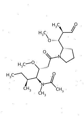 CC[C@H](C)[C@@H]([C@@H](CC(=O)N1CCC[C@H]1[C@H](OC)[C@@H](C)C=O)OC)N(C)C(C)=O